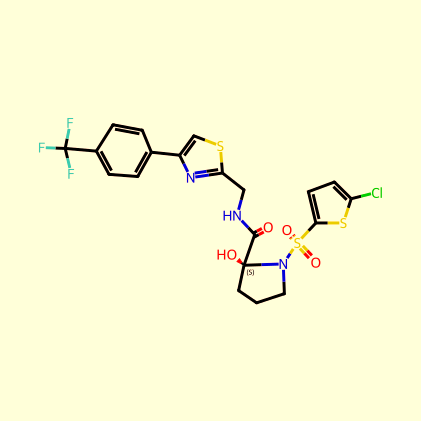 O=C(NCc1nc(-c2ccc(C(F)(F)F)cc2)cs1)[C@@]1(O)CCCN1S(=O)(=O)c1ccc(Cl)s1